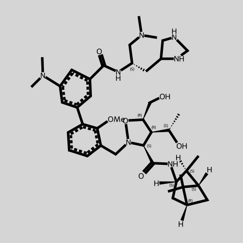 COc1c(CN2O[C@@H](CO)[C@@H]([C@H](C)O)[C@H]2C(=O)N[C@H]2C[C@H]3C[C@@H]([C@@H]2C)C3(C)C)cccc1-c1cc(C(=O)N[C@@H](CC2CNCN2)CN(C)C)cc(N(C)C)c1